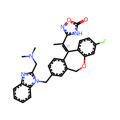 C/C(=C1\c2ccc(Cn3c(CN(C)C)nc4ccccc43)cc2COc2cc(F)ccc21)c1noc(=O)[nH]1